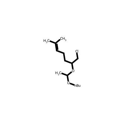 CCCCOC(C)OC(CCl)CCC=C(C)C